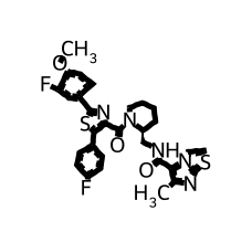 COc1ccc(-c2nc(C(=O)N3CCCC[C@H]3CNC(=O)c3c(C)nc4sccn34)c(-c3ccc(F)cc3)s2)cc1F